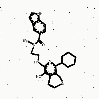 CC(C)N(CCNc1nc(C2CCCCC2)c2c(c1C#N)CCOC2)C(=O)c1ccc2[nH]ccc2c1